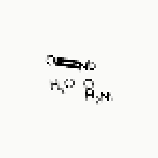 O.O.[Ni].[O]=[Nb]